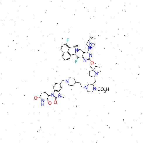 C#Cc1c(F)ccc2cccc(-c3ncc4c(N5CC6CCC(C5)N6)nc(OC[C@@]56CCCN5[C@H](CC5CN(CCC7CCN(Cc8ccc9c(c8)n(C)c(=O)n9C8CCC(=O)NC8=O)CC7)CCN5C(=O)O)CC6)nc4c3F)c12